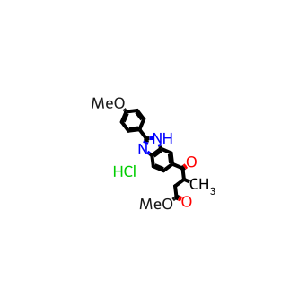 COC(=O)CC(C)C(=O)c1ccc2nc(-c3ccc(OC)cc3)[nH]c2c1.Cl